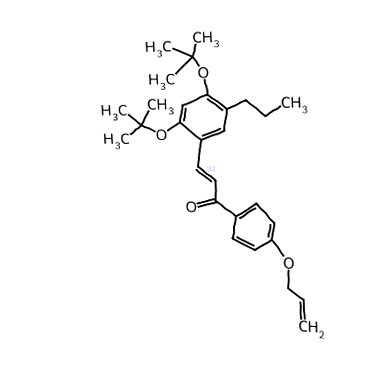 C=CCOc1ccc(C(=O)/C=C/c2cc(CCC)c(OC(C)(C)C)cc2OC(C)(C)C)cc1